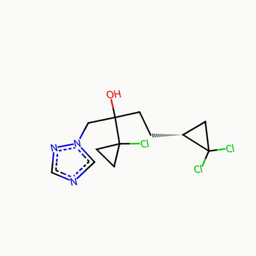 OC(CC[C@@H]1CC1(Cl)Cl)(Cn1cncn1)C1(Cl)CC1